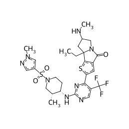 CCC12CC(NC)CN1C(=O)c1cc(-c3nc(N[C@H]4CCN(S(=O)(=O)c5cnn(C)c5)C[C@H]4C)ncc3C(F)(F)F)sc12